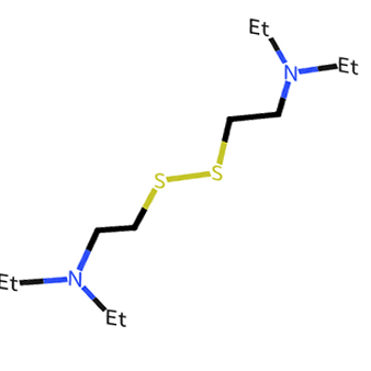 CCN(CC)CCSSCCN(CC)CC